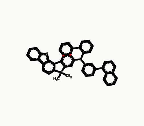 C[Si]1(C)c2cc(N(c3cccc(-c4cccc5ccccc45)c3)c3ccccc3-c3ccccc3)ccc2-c2c1ccc1c2sc2ccccc21